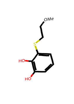 COCCSc1cccc(O)c1O